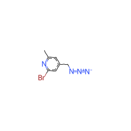 Cc1cc(CN=[N+]=[N-])cc(Br)n1